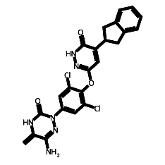 C=C1NC(=O)N(c2cc(Cl)c(Oc3cc(C4Cc5ccccc5C4)c(=O)[nH]n3)c(Cl)c2)N=C1N